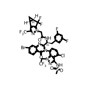 CS(=O)(=O)Nc1nn(CC(F)(F)F)c2c(-n3c([C@H](Cc4cc(F)cc(F)c4)NC(=O)Cn4nc(C(F)(F)F)c5c4C(F)(F)[C@@H]4C[C@H]54)nc4cc(Br)ccc4c3=O)ccc(Cl)c12